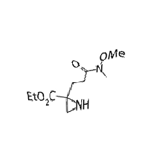 CCOC(=O)C1(CCC(=O)N(C)OC)CN1